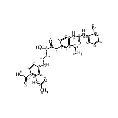 COc1cc(CC(=O)N(C)CCNc2ccc(C(=O)O)c(NC(C)=O)c2)ccc1NC(=O)Nc1ccccc1Br